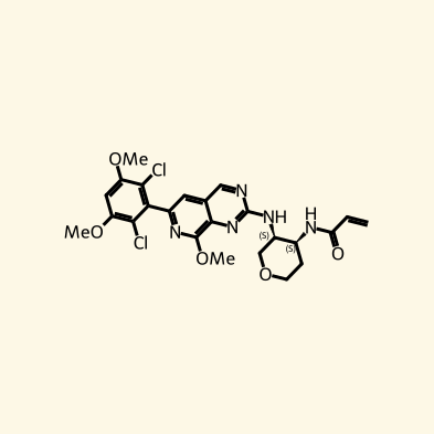 C=CC(=O)N[C@H]1CCOC[C@H]1Nc1ncc2cc(-c3c(Cl)c(OC)cc(OC)c3Cl)nc(OC)c2n1